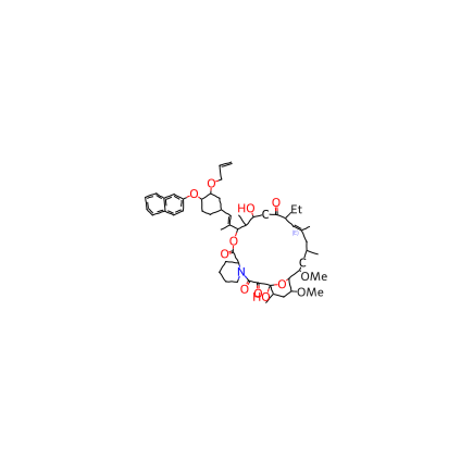 C=CCOC1CC(C=C(C)C2OC(=O)C3CCCCN3C(=O)C(=O)C3(O)OC(C(OC)CC(C)C/C(C)=C/C(CC)C(=O)CC(O)C2C)C(OC)CC3C)CCC1Oc1ccc2ccccc2c1